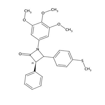 COc1cc(N2C(=O)[C@H](c3ccccc3)C2c2ccc(SC)cc2)cc(OC)c1OC